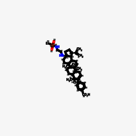 C=C(C)[C@@H]1CC[C@]2(NCCNS(=O)(=O)CC)CC[C@]3(C)C(CCC4[C@@]5(C)CC=C(c6ccc(C(=O)O)cc6)C(C)(C)C5CC[C@]43C)C12